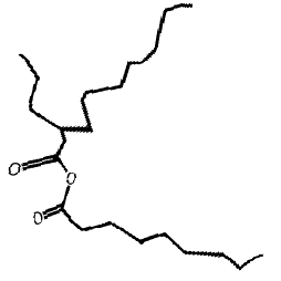 CCCCCCCCC(=O)OC(=O)C(CCC)CCCCCCC